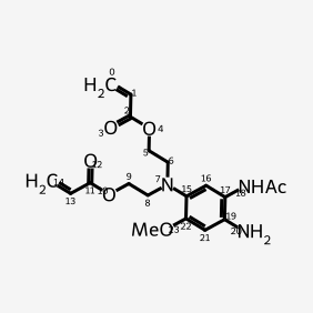 C=CC(=O)OCCN(CCOC(=O)C=C)c1cc(NC(C)=O)c(N)cc1OC